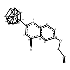 C=CCOc1ccc2oc([C]34[CH]5[CH]6[CH]7[CH]3[Fe]6754389%10[CH]4[CH]3[CH]8[CH]9[CH]4%10)cc(=O)c2c1